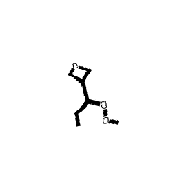 CCC(OOC)C1COC1